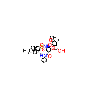 COc1ccccc1Oc1c(NS(=O)(=O)c2ccc(C(C)(C)C)cc2)cc(C(=O)Nc2ccccc2)cc1OCCO